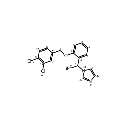 CC(C)C(c1ccccc1OCc1ccc(Cl)c(Cl)c1)n1ccnc1